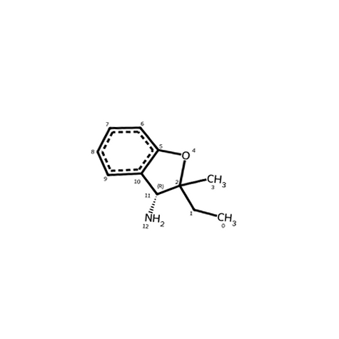 CCC1(C)Oc2ccccc2[C@H]1N